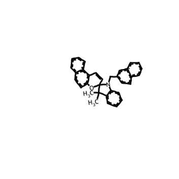 CC1(C)c2ccccc2N(Cc2ccc3ccccc3c2)C12C=Cc1c(ccc3ccccc13)O2